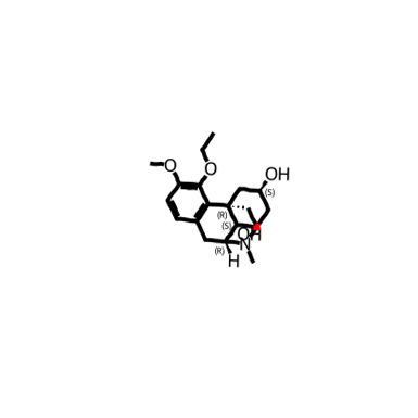 CCOc1c(OC)ccc2c1[C@]13CCN(C)[C@H](C2)[C@]1(O)CC[C@H](O)C3